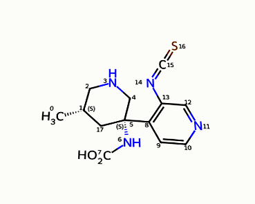 C[C@@H]1CNC[C@@](NC(=O)O)(c2ccncc2N=C=S)C1